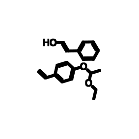 C=Cc1ccc(OC(C)OCC)cc1.OC=Cc1ccccc1